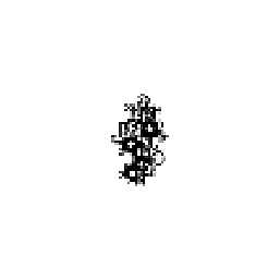 Cc1cc2c3c4cccnc4oc(=O)c3n(Cc3cc4c(=O)n(C)c(=O)n(C)c4cc3F)c2cc1F